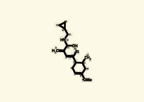 C=C(/C=C(\CC)C1CC=C(OC)CC1C)C(O)NCC1CC1